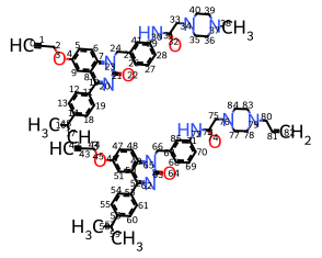 C#CCOc1ccc2c(c1)c(-c1ccc(C(C)C)cc1)nc(=O)n2Cc1cccc(NC(=O)CN2CCN(C)CC2)c1.C#CCOc1ccc2c(c1)c(-c1ccc(C(C)C)cc1)nc(=O)n2Cc1cccc(NC(=O)CN2CCN(CC=C)CC2)c1